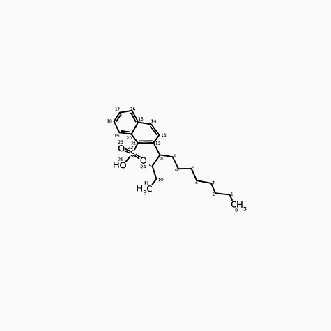 CCCCCCCCC(CCC)c1ccc2ccccc2c1S(=O)(=O)O